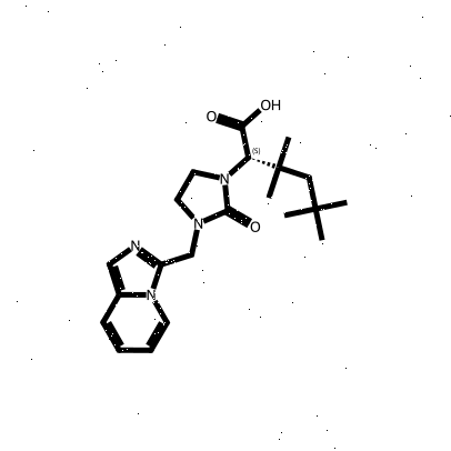 CC(C)(C)CC(C)(C)[C@@H](C(=O)O)N1CCN(Cc2ncc3ccccn23)C1=O